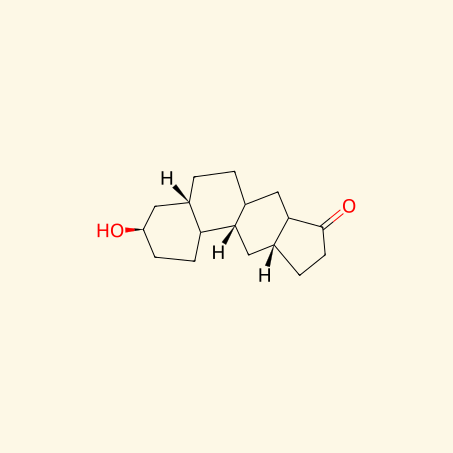 O=C1CC[C@@H]2C[C@H]3C(CC[C@H]4C[C@H](O)CCC43)CC12